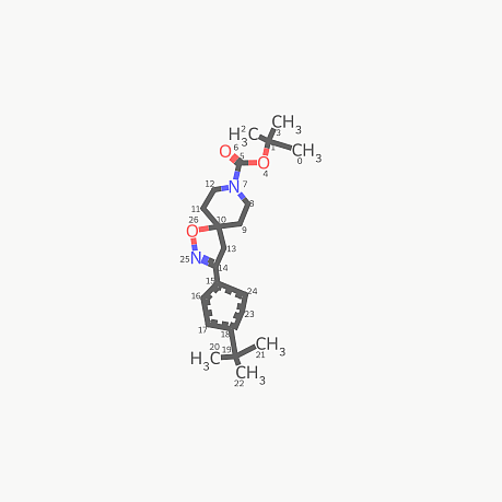 CC(C)(C)OC(=O)N1CCC2(CC1)CC(c1ccc(C(C)(C)C)cc1)=NO2